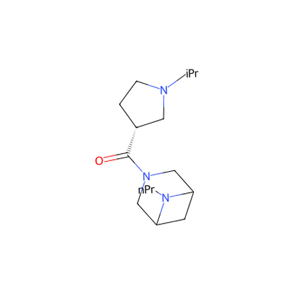 CCCN1C2CC1CN(C(=O)[C@@H]1CCN(C(C)C)C1)C2